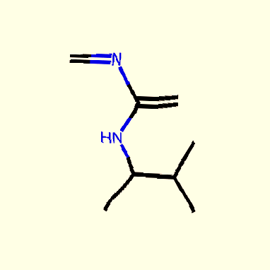 C=NC(=C)NC(C)C(C)C